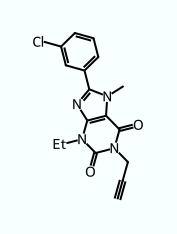 C#CCn1c(=O)c2c(nc(-c3cccc(Cl)c3)n2C)n(CC)c1=O